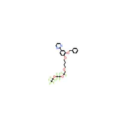 FC(F)(COCCCCOc1ccc(-c2ncccn2)cc1OCc1ccccc1)OC(F)(F)C(F)(F)OC(F)(F)C(F)(F)F